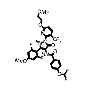 COCCOc1ccc(C(F)(F)F)c(-n2c(=O)c(NC(=O)c3ccc(OC(F)F)cc3)c(-c3c(F)cc(OC)cc3F)n2C)n1